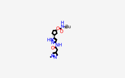 CC[C@H](C)NC(=O)O[C@@H]1CC[C@H](c2cc(NC(=O)Cc3cnn(C)c3)n[nH]2)C1